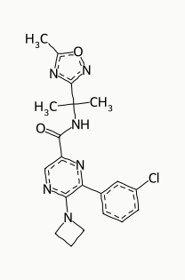 Cc1nc(C(C)(C)NC(=O)c2cnc(N3CCC3)c(-c3cccc(Cl)c3)n2)no1